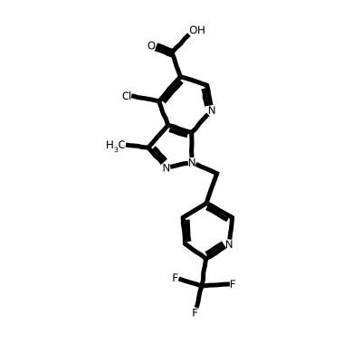 Cc1nn(Cc2ccc(C(F)(F)F)nc2)c2ncc(C(=O)O)c(Cl)c12